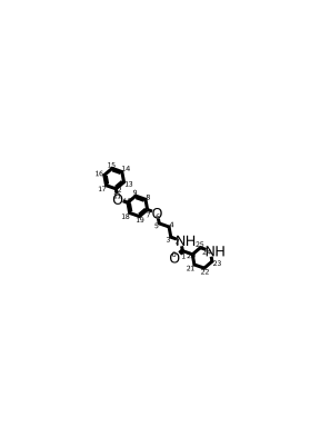 O=C(NCCCOc1ccc(Oc2ccccc2)cc1)C1CCCNC1